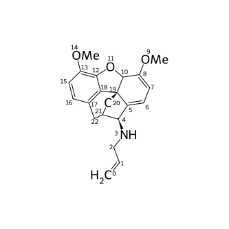 C=CCN[C@@H]1C2=CC=C(OC)C3Oc4c(OC)ccc5c4[C@@]23CC1C5